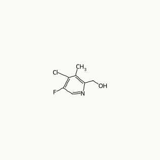 Cc1c(CO)ncc(F)c1Cl